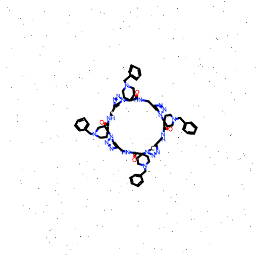 O=C1NCc2cn(nn2)C2(CCN(Cc3ccccc3)CC2)C(=O)NCc2cn(nn2)C2(CCN(Cc3ccccc3)CC2)C(=O)NCc2cn(nn2)C2(CCN(Cc3ccccc3)CC2)C(=O)NCC2CN(N=N2)C12CCN(Cc1ccccc1)CC2